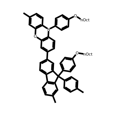 CCCCCCCCOc1ccc(N2c3ccc(C)cc3Oc3cc(-c4ccc5c(c4)C(c4ccc(C)cc4)(c4ccc(OCCCCCCCC)cc4)c4cc(C)ccc4-5)ccc32)cc1